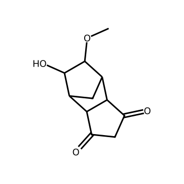 COC1C(O)C2CC1C1C(=O)CC(=O)C21